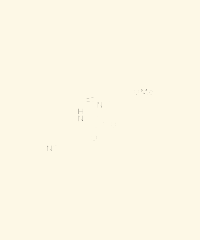 CCN(c1ccc(OC)cc1)c1c(Nc2ccc(C#N)cc2)c(=O)c1=O